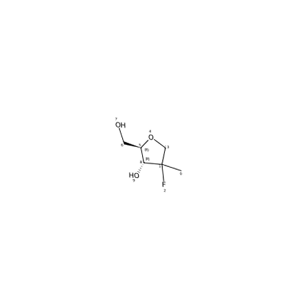 CC1(F)[CH]O[C@H](CO)[C@H]1O